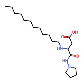 CCCCCCCCCCCCNC(CC(=O)O)C(=O)NN1CCCC1